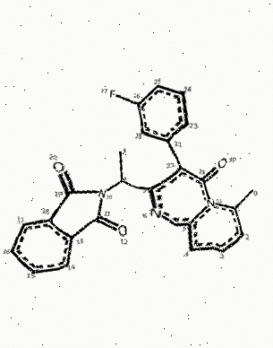 Cc1cccc2nc(C(C)N3C(=O)c4ccccc4C3=O)c(-c3cccc(F)c3)c(=O)n12